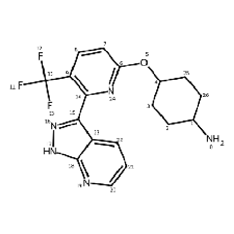 NC1CCC(Oc2ccc(C(F)(F)F)c(-c3n[nH]c4ncccc34)n2)CC1